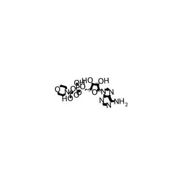 Nc1ncnc2c1ncn2[C@@H]1O[C@H](COP(=O)(O)OP(=O)(O)N2CCOCC2)C(O)[C@@H]1O